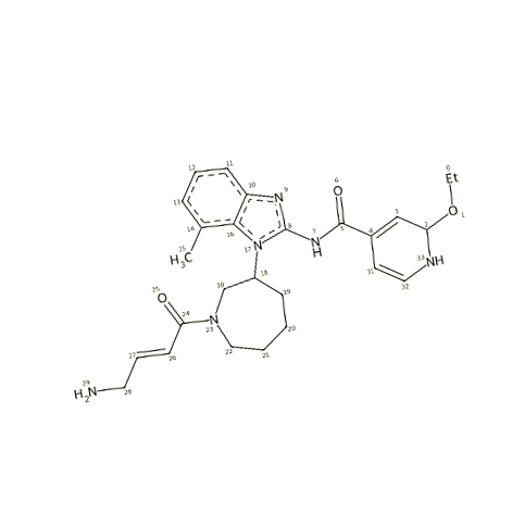 CCOC1C=C(C(=O)Nc2nc3cccc(C)c3n2C2CCCCN(C(=O)/C=C/CN)C2)C=CN1